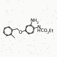 CCOC(=O)Nc1ccc(OCc2ccccc2C)cc1N